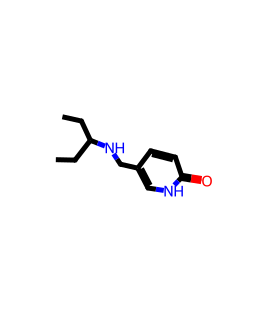 CCC(CC)NCc1ccc(=O)[nH]c1